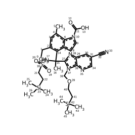 CCc1cc(C)c2c(ccn2C(=O)O)c1C(C)(NS(=O)(=O)CC[Si](C)(C)C)c1nc2cc(C#N)cnc2n1COCC[Si](C)(C)C